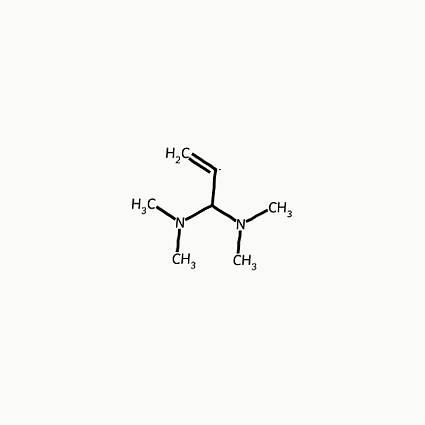 C=[C]C(N(C)C)N(C)C